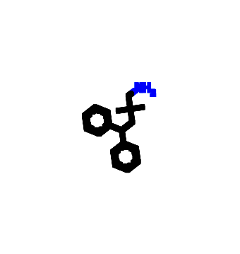 CC(C)(CN)CC(c1ccccc1)c1ccccc1